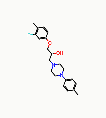 Cc1ccc(N2CCN(C[C@H](O)COc3ccc(C)c(F)c3)CC2)cc1